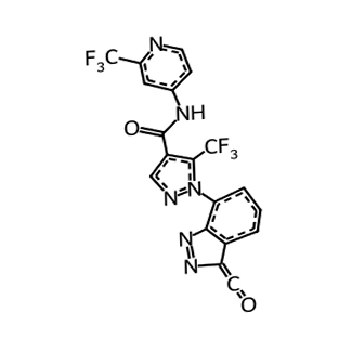 O=C=C1N=Nc2c1cccc2-n1ncc(C(=O)Nc2ccnc(C(F)(F)F)c2)c1C(F)(F)F